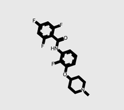 CN1CCC(Oc2cccc(NC(=O)c3c(F)cc(F)cc3F)c2F)CC1